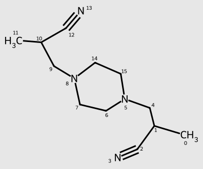 CC(C#N)CN1CCN(CC(C)C#N)CC1